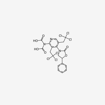 O=C1OC(c2ccccc2)CN1c1c(CC(Cl)(Cl)Cl)cnc(N(C(=O)O)C(=O)O)c1CC(Cl)(Cl)Cl